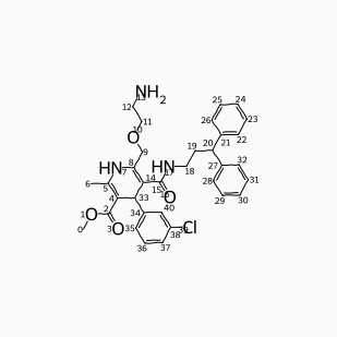 COC(=O)C1=C(C)NC(COCCN)=C(C(=O)NCCC(c2ccccc2)c2ccccc2)C1c1cccc(Cl)c1